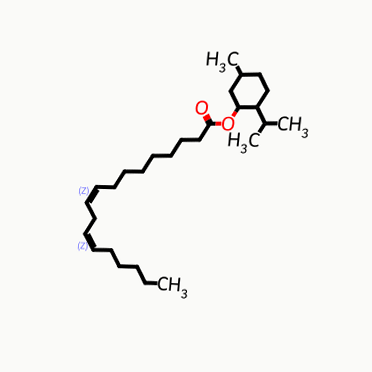 CCCCC/C=C\C/C=C\CCCCCCCC(=O)OC1CC(C)CCC1C(C)C